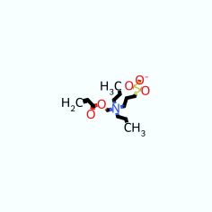 C=CC(=O)OC[N+](CCC)(CCC)CCCS(=O)(=O)[O-]